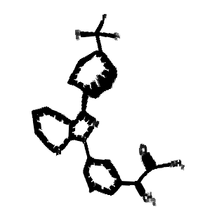 C=C(C(N)=O)c1cccc(-n2nc(-c3ccc(C(F)(F)F)cc3)c3cccnc32)c1